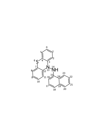 c1ccc2c(c1)Sc1ccccc1N2Nc1cccc2ccccc12